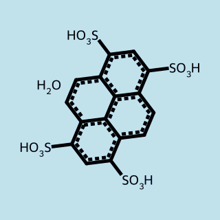 O.O=S(=O)(O)c1cc(S(=O)(=O)O)c2ccc3c(S(=O)(=O)O)cc(S(=O)(=O)O)c4ccc1c2c43